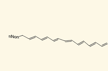 [CH]=CC=CC=CC=CC=CC=CC=CCCCCCCCCCC